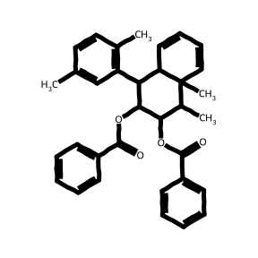 Cc1ccc(C)c(C2C(OC(=O)c3ccccc3)C(OC(=O)c3ccccc3)C(C)C3(C)C=CC=CC23)c1